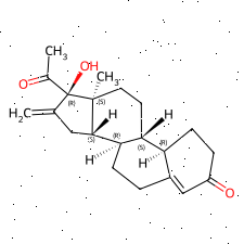 C=C1C[C@H]2[C@@H]3CCC4=CC(=O)CC[C@@H]4[C@H]3CC[C@]2(C)[C@@]1(O)C(C)=O